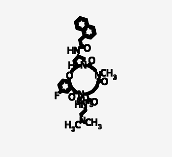 CN(C)CCNC(=O)[C@@H]1CCC(=O)N(C)CC(=O)N2C[C@@H](NC(=O)Cc3cccc4ccccc34)C[C@H]2COc2ccc(F)cc2C(=O)N1C